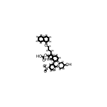 O=C(O)Oc1[nH]c2c(-c3cc([N+](=O)[O-])cnc3N3CCC(O)CC3)cccc2c1CCCOc1cccc2ccccc12